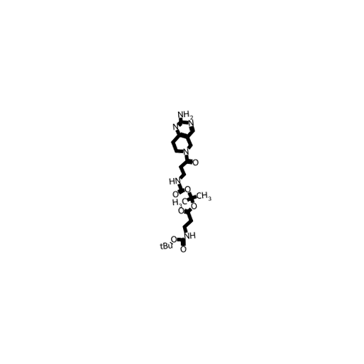 CC(C)(C)OC(=O)NCCC(=O)OC(C)(C)OC(=O)NCCC(=O)N1CCc2nc(N)ncc2C1